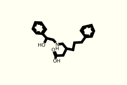 O=C(O)CC(CCCc1ccccc1)CNCC(O)c1ccccc1